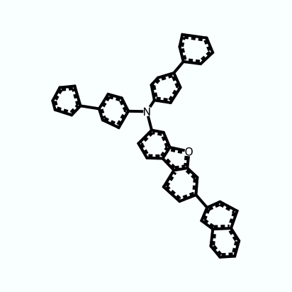 c1ccc(-c2ccc(N(c3ccc(-c4ccccc4)cc3)c3ccc4c(c3)oc3cc(-c5ccc6ccccc6c5)ccc34)cc2)cc1